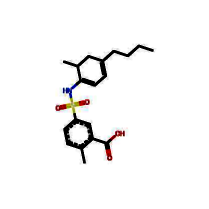 CCCCC1=CC=C(NS(=O)(=O)c2ccc(C)c(C(=O)O)c2)C(C)C1